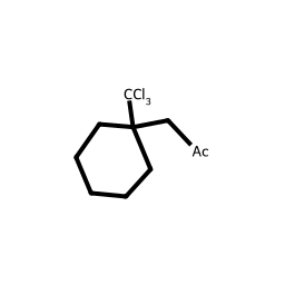 CC(=O)CC1(C(Cl)(Cl)Cl)CCCCC1